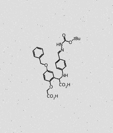 CC(C)(C)OC(=O)NN=Cc1ccc(NC(C(=O)O)c2cc(OCc3ccccc3)ccc2OCC(=O)O)cc1